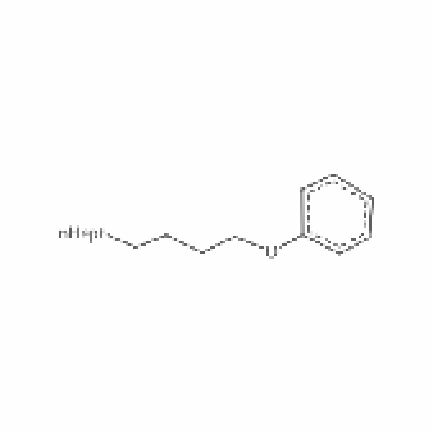 CCCCCCCCCCCOc1[c]cccc1